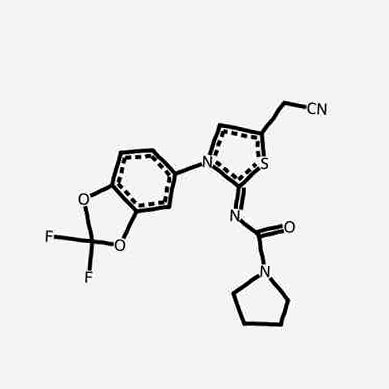 N#CCc1cn(-c2ccc3c(c2)OC(F)(F)O3)c(=NC(=O)N2CCCC2)s1